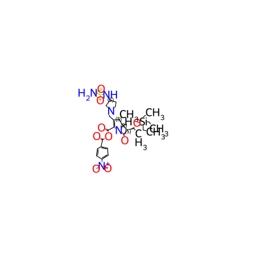 CC[Si](CC)(CC)OC(C)[C@H]1C(=O)N2C(C(=O)OC(=O)c3ccc([N+](=O)[O-])cc3)=C(CN3CC[C@H](NS(N)(=O)=O)C3)[C@H](C)[C@H]12